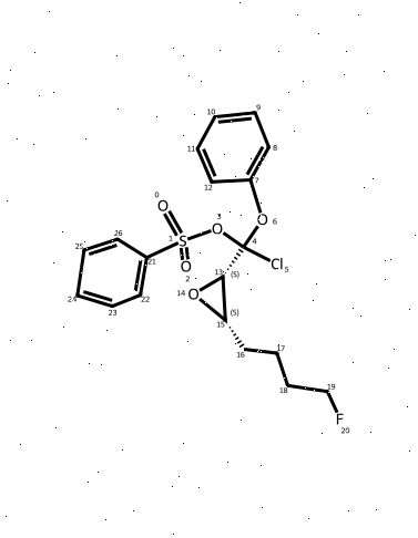 O=S(=O)(OC(Cl)(Oc1ccccc1)[C@H]1O[C@H]1CCCCF)c1ccccc1